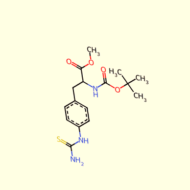 COC(=O)C(Cc1ccc(NC(N)=S)cc1)NC(=O)OC(C)(C)C